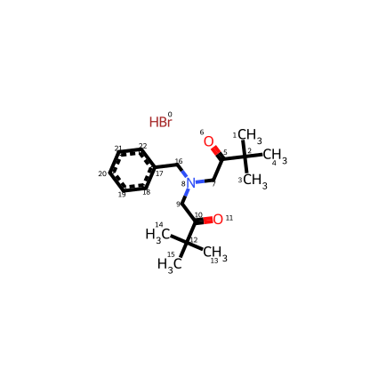 Br.CC(C)(C)C(=O)CN(CC(=O)C(C)(C)C)Cc1ccccc1